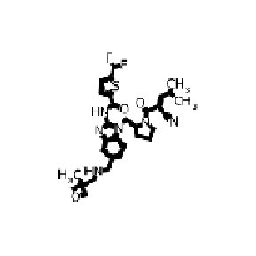 CC(C)C=C(C#N)C(=O)N1CCCC1Cn1c(NC(=O)c2ccc(C(F)F)s2)nc2cc(CNCC3(C)COC3)ccc21